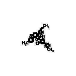 CCCn1cc(C2(NC(=O)c3c(Cl)cc(-n4cnc(C)n4)cc3Cl)CCc3nn4cc(C)ccc4c3C2)nn1